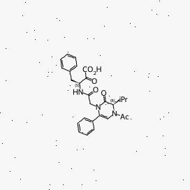 CC(=O)N1C=C(c2ccccc2)N(CC(=O)N[C@@H](Cc2ccccc2)C(=O)C(=O)O)C(=O)[C@H]1C(C)C